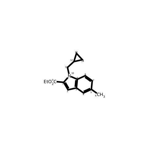 CCOC(=O)c1cc2cc(C)ccc2n1CC1CC1